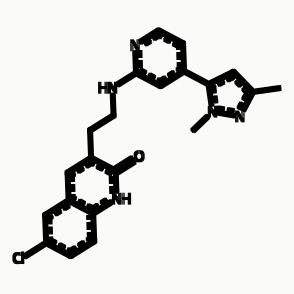 Cc1cc(-c2ccnc(NCCc3cc4cc(Cl)ccc4[nH]c3=O)c2)n(C)n1